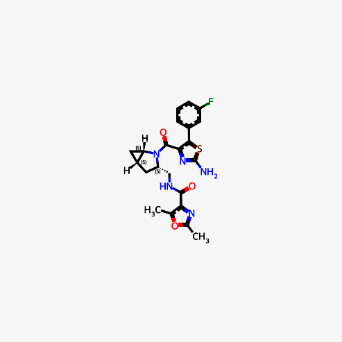 Cc1nc(C(=O)NC[C@@H]2C[C@@H]3C[C@@H]3N2C(=O)c2nc(N)sc2-c2cccc(F)c2)c(C)o1